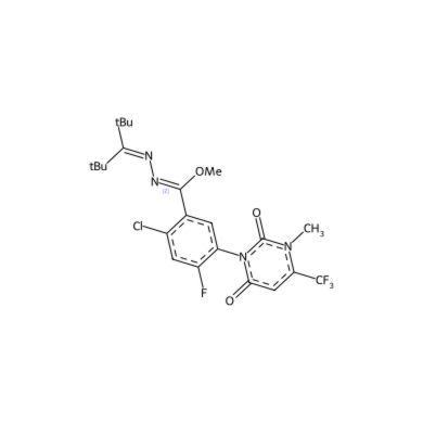 CO/C(=N\N=C(C(C)(C)C)C(C)(C)C)c1cc(-n2c(=O)cc(C(F)(F)F)n(C)c2=O)c(F)cc1Cl